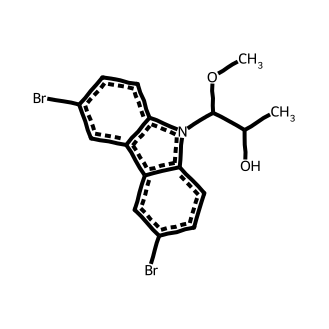 COC(C(C)O)n1c2ccc(Br)cc2c2cc(Br)ccc21